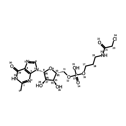 Cc1nc2c(ncn2[C@@H]2O[C@H](COP(=O)(O)OCCCNC(=O)CCl)[C@@H](O)[C@H]2O)c(=O)[nH]1